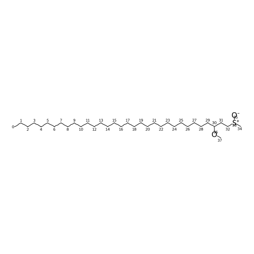 CCCCCCCCCCCCCCCCCCCCCCCCCCCCCCC(CC[S+](C)[O-])OC